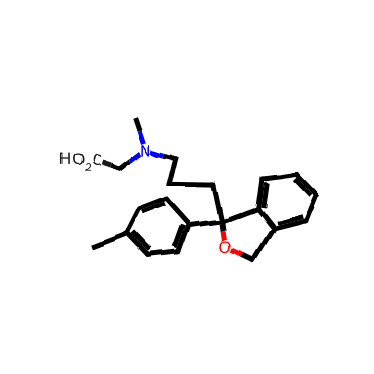 Cc1ccc(C2(CCCN(C)CC(=O)O)OCc3ccccc32)cc1